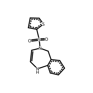 O=S(=O)(c1cccs1)N1C=CNc2ccccc2C1